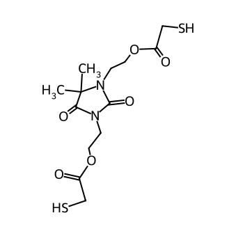 CC1(C)C(=O)N(CCOC(=O)CS)C(=O)N1CCOC(=O)CS